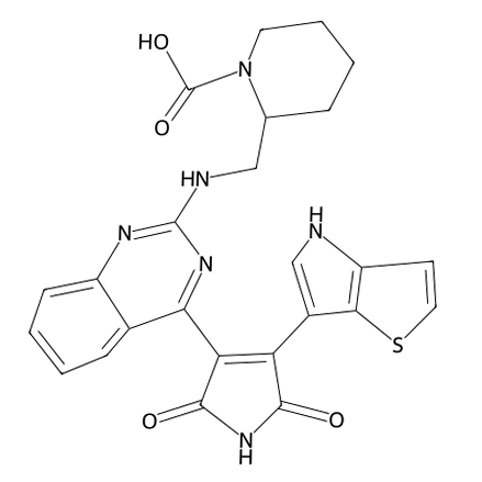 O=C1NC(=O)C(c2c[nH]c3ccsc23)=C1c1nc(NCC2CCCCN2C(=O)O)nc2ccccc12